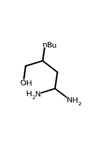 CCCCC(CO)CC(N)N